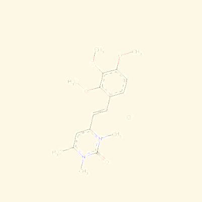 COc1ccc(/C=C/c2cc(C)[n+](C)c(=O)n2C)c(OC)c1OC.[Cl-]